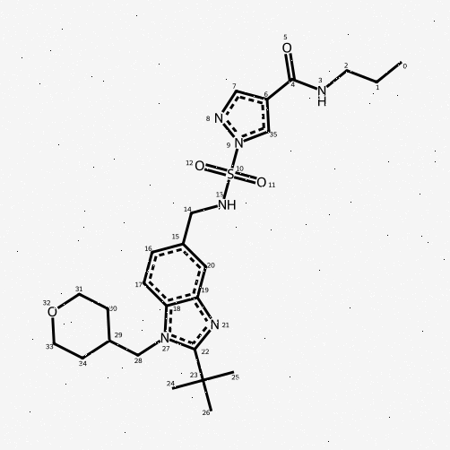 CCCNC(=O)c1cnn(S(=O)(=O)NCc2ccc3c(c2)nc(C(C)(C)C)n3CC2CCOCC2)c1